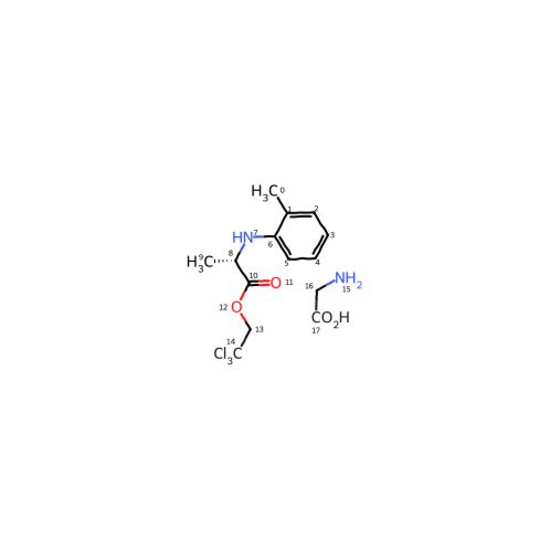 Cc1ccccc1N[C@@H](C)C(=O)OCC(Cl)(Cl)Cl.NCC(=O)O